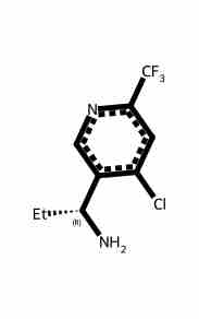 CC[C@@H](N)c1cnc(C(F)(F)F)cc1Cl